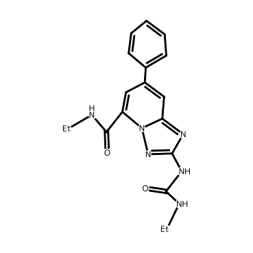 CCNC(=O)Nc1nc2cc(-c3ccccc3)cc(C(=O)NCC)n2n1